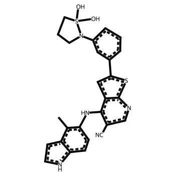 Cc1c(Nc2c(C#N)cnc3sc(-c4cccc(N5CCCS5(O)O)c4)cc23)ccc2[nH]ccc12